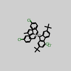 CC1=CC(C)[C]([Zr+2](=[CH]c2ccc(Cl)cc2)(=[CH]c2ccc(Cl)cc2)[CH]2c3cc(C(C)(C)C)ccc3-c3ccc(C(C)(C)C)cc32)=C1C.[Cl-].[Cl-]